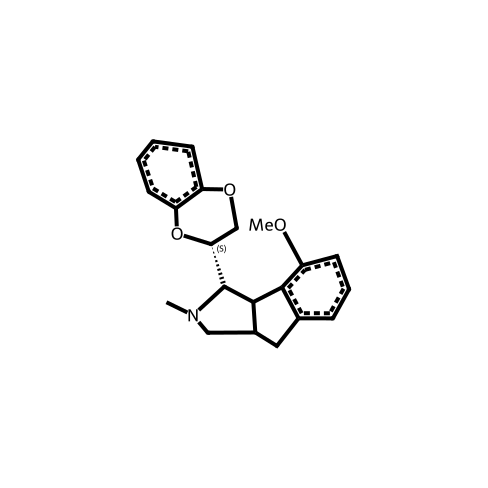 COc1cccc2c1C1C(C2)CN(C)C1[C@H]1COc2ccccc2O1